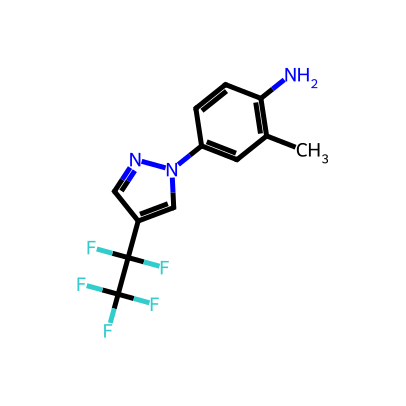 Cc1cc(-n2cc(C(F)(F)C(F)(F)F)cn2)ccc1N